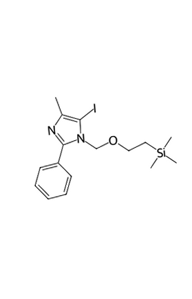 Cc1nc(-c2ccccc2)n(COCC[Si](C)(C)C)c1I